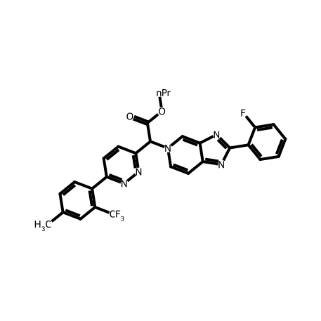 CCCOC(=O)C(c1ccc(-c2ccc(C)cc2C(F)(F)F)nn1)n1ccc2nc(-c3ccccc3F)nc-2c1